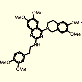 COc1ccc(CCNc2nc(N3CCc4cc(OC)c(OC)cc4C3)c3cc(OC)c(OC)cc3n2)cc1OC